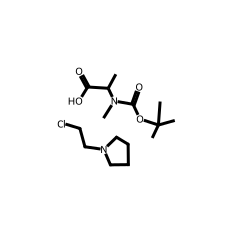 CC(C(=O)O)N(C)C(=O)OC(C)(C)C.ClCCN1CCCC1